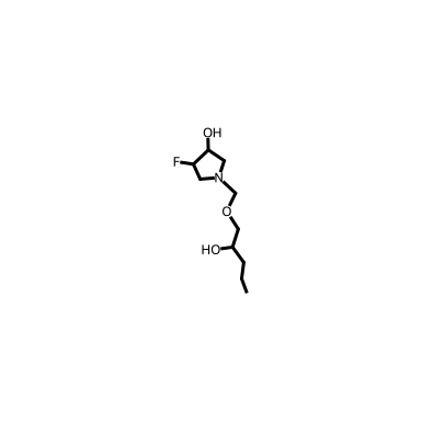 CCCC(O)COCN1CC(O)C(F)C1